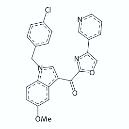 COc1ccc2c(c1)c(C(=O)c1nc(-c3cccnc3)co1)cn2Cc1ccc(Cl)cc1